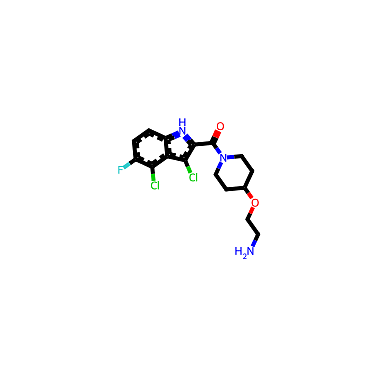 NCCOC1CCN(C(=O)c2[nH]c3ccc(F)c(Cl)c3c2Cl)CC1